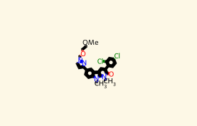 COCCOCn1ccc(-c2ccc3c(c2)c2cc(-c4ccc(Cl)cc4Cl)c(=O)n(C)c2n3C)n1